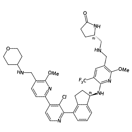 COc1nc(-c2ccnc(-c3cccc4c3CC[C@H]4Nc3nc(OC)c(CNC[C@@H]4CCC(=O)N4)cc3C(F)(F)F)c2Cl)ccc1CNC1CCOCC1